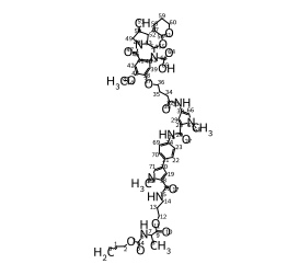 C=CCOC(=O)NC(C)C(=O)OCCCNC(=O)c1cc(-c2ccc(NC(=O)c3cc(NC(=O)CCCOc4cc5c(cc4OC)C(=O)N4CC(=C)CC4C(OC4CCCCO4)N5C(=O)O)cn3C)cc2)cn1C